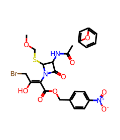 COCSC1C(NC(C)=O)C(=O)N1C(C(=O)OCc1ccc([N+](=O)[O-])cc1)=C(O)CBr.c1cc2cc(c1)O2